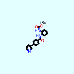 CC(C)(C)OC(=O)Nc1ccccc1NC(=O)c1ccc(-c2cccnc2)cc1